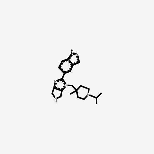 CC(C)N1CCC(C)(Cn2c(-c3ccc4[nH]ncc4c3)nc3c2CNC3)CC1